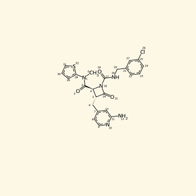 CN(C(=O)[C@@H]1[C@@H](Cc2ccnc(N)c2)C(=O)N1C(=O)NCc1cccc(Cl)c1)c1cccs1